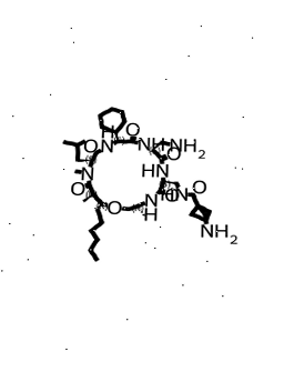 CCCCCC[C@H]1OC[C@@H](C)NC(=O)[C@H](CNC(=O)C23CC(N)(C2)C3)NC(=O)[C@H](CN)NC(=O)[C@H](C2CCCCC2)NC(=O)[C@H](CC(C)C)N(C)C(=O)[C@@H]1C